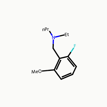 CCCN(CC)Cc1c(F)cccc1OC